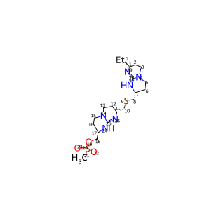 CC[C@H]1CCN2CC[C@H](CSC[C@H]3CCN4CC[C@H](COS(C)(=O)=O)NC4=N3)NC2=N1